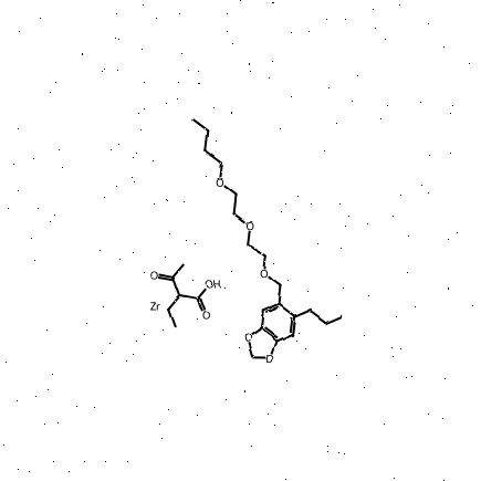 CCC(C(C)=O)C(=O)O.CCCCOCCOCCOCc1cc2c(cc1CCC)OCO2.[Zr]